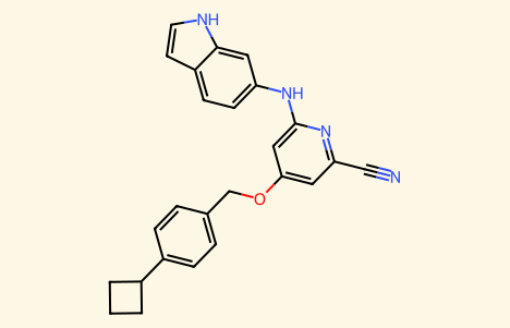 N#Cc1cc(OCc2ccc(C3CCC3)cc2)cc(Nc2ccc3cc[nH]c3c2)n1